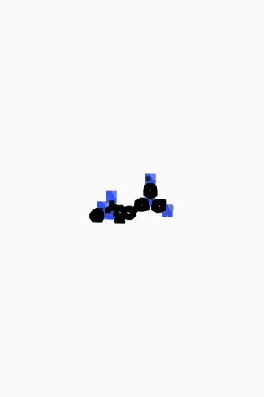 CN(C)c1ccc(N(c2ccc(C3=CC4=C/C(=C(\C#N)c5nc6ccccc6[nH]5)CC(C)(C)C4CC3)cc2)c2ccc(N(C)C)cc2)cc1